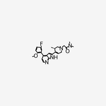 COc1ccc(F)cc1-c1ccnc2[nH]c(C3=CCN(CC(=O)N(C)C)C[C@@H]3C)cc12